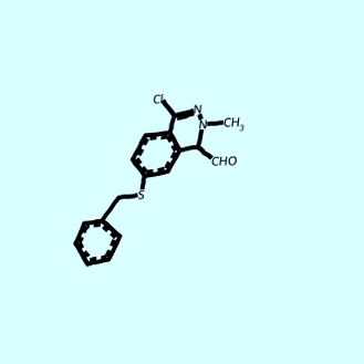 CN1N=C(Cl)c2ccc(SCc3ccccc3)cc2C1C=O